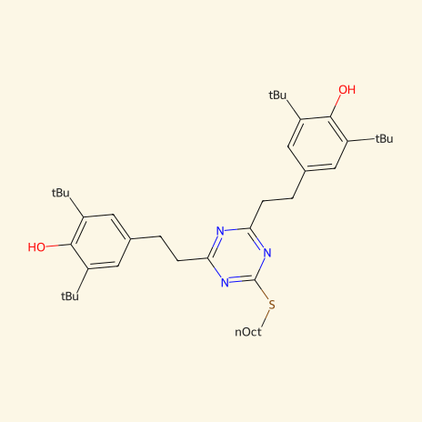 CCCCCCCCSc1nc(CCc2cc(C(C)(C)C)c(O)c(C(C)(C)C)c2)nc(CCc2cc(C(C)(C)C)c(O)c(C(C)(C)C)c2)n1